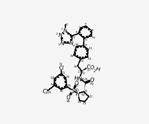 Cn1nnnc1-c1ccccc1-c1ccc(C[C@H](NC(=O)[C@@H]2CCCN2S(=O)(=O)c2cc(Cl)cc(Cl)c2)C(=O)O)cc1